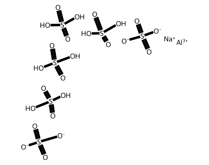 O=S(=O)(O)O.O=S(=O)(O)O.O=S(=O)(O)O.O=S(=O)(O)O.O=S(=O)([O-])[O-].O=S(=O)([O-])[O-].[Al+3].[Na+]